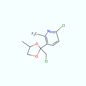 CC1COC(CCl)(c2ccc(Cl)nc2C(F)(F)F)O1